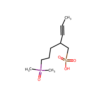 CC#CC(CCCP(C)(C)=O)CS(=O)(=O)O